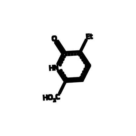 CCc1ccc(C(=O)O)[nH]c1=O